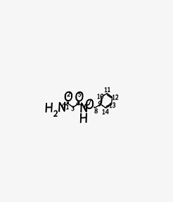 NC(=O)CC(=O)NOCc1ccccc1